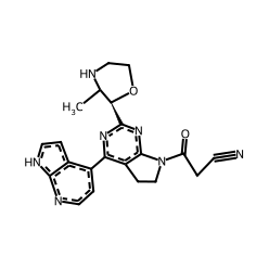 CC1NCCO[C@H]1c1nc(-c2ccnc3[nH]ccc23)c2c(n1)N(C(=O)CC#N)CC2